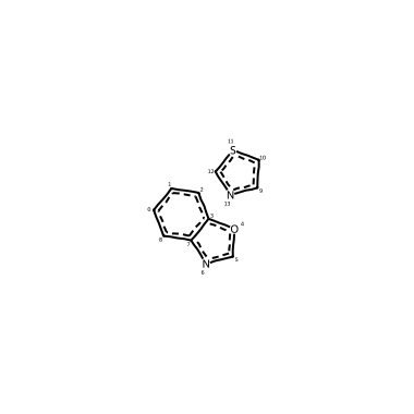 c1ccc2ocnc2c1.c1cscn1